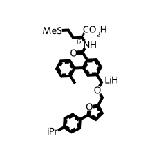 CSCC[C@H](NC(=O)c1ccc(COCc2ccc(-c3ccc(C(C)C)cc3)o2)cc1-c1ccccc1C)C(=O)O.[LiH]